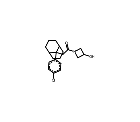 O=C(CC1(c2ccc(Cl)cc2)C2CCCC1CCC2)N1CC(O)C1